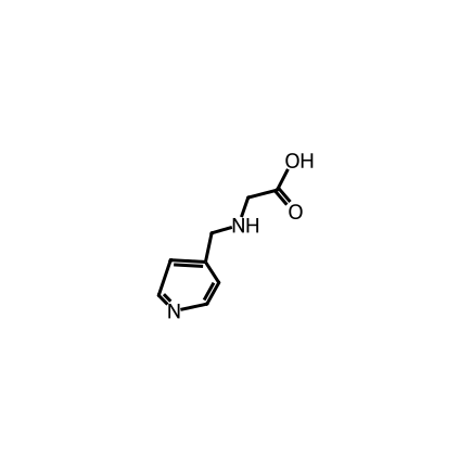 O=C(O)CNCc1ccncc1